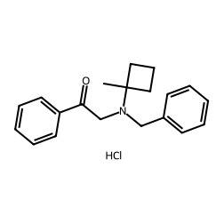 CC1(N(CC(=O)c2ccccc2)Cc2ccccc2)CCC1.Cl